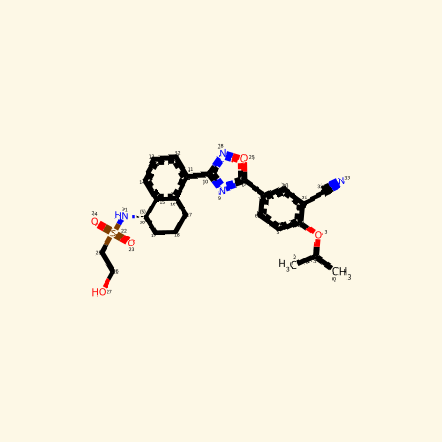 CC(C)Oc1ccc(-c2nc(-c3cccc4c3CCC[C@@H]4NS(=O)(=O)CCO)no2)cc1C#N